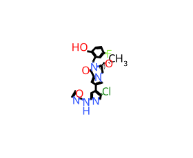 COC[C@H]1Cn2cc(-c3cc(Nc4ncco4)ncc3Cl)cc2C(=O)N1Cc1cc(F)ccc1CO